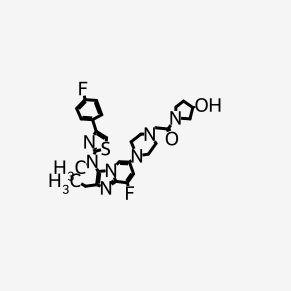 CCc1nc2c(F)cc(N3CCN(CC(=O)N4CC[C@H](O)C4)CC3)cn2c1N(C)c1nc(-c2ccc(F)cc2)cs1